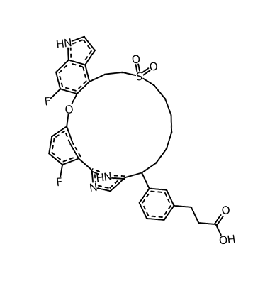 O=C(O)CCc1cccc(C2CCCCCCS(=O)(=O)CCc3c(c(F)cc4[nH]ccc34)Oc3ccc(F)c(c3)-c3ncc2[nH]3)c1